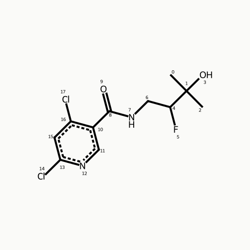 CC(C)(O)C(F)CNC(=O)c1cnc(Cl)cc1Cl